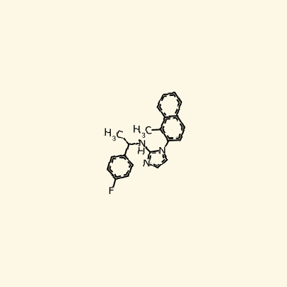 Cc1c(-n2ccnc2NC(C)c2ccc(F)cc2)ccc2ccccc12